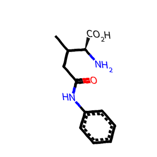 CC(CC(=O)Nc1ccccc1)[C@H](N)C(=O)O